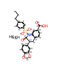 CCCc1ccc(S(=O)(=O)NC(=O)C(Cc2ccc(C(=O)O)cc2)c2ccc3c(c2)OCO3)cc1.[KH].[KH]